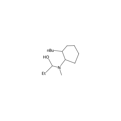 CCCCC1CCCCC1N(C)C(O)CC